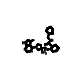 Cc1c[nH]c2ncnc(N3CCC(N)(CNc4ccccc4C(=O)NCc4ccccc4)C3)c12